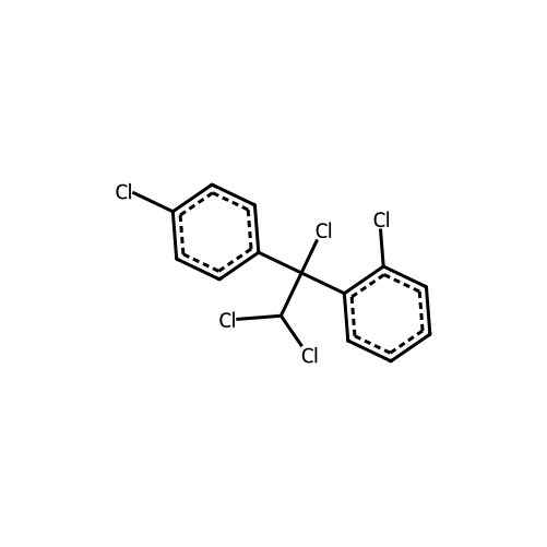 Clc1ccc(C(Cl)(c2ccccc2Cl)C(Cl)Cl)cc1